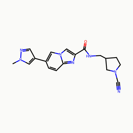 Cn1cc(-c2ccc3nc(C(=O)NCC4CCN(C#N)C4)cn3c2)cn1